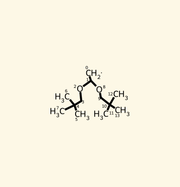 [CH2]C(OCC(C)(C)C)OCC(C)(C)C